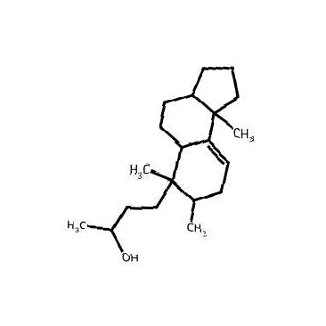 CC(O)CCC1(C)C(C)CC=C2C1CCC1CCCC21C